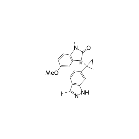 COc1ccc2c(c1)[C@@H](C1(c3ccc4c(I)n[nH]c4c3)CC1)C(=O)N2C